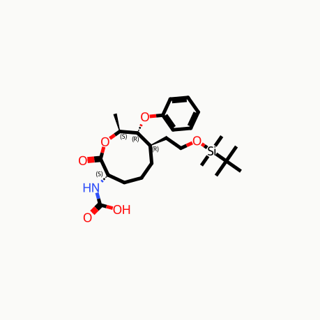 C[C@@H]1OC(=O)[C@@H](NC(=O)O)CCC[C@H](CCO[Si](C)(C)C(C)(C)C)[C@H]1Oc1ccccc1